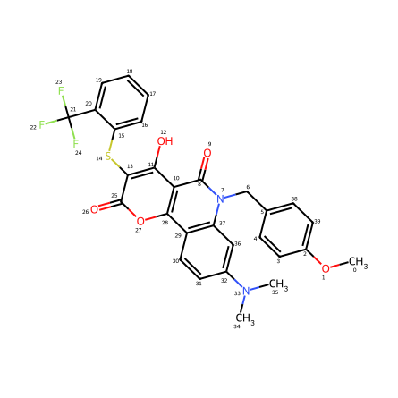 COc1ccc(Cn2c(=O)c3c(O)c(Sc4ccccc4C(F)(F)F)c(=O)oc3c3ccc(N(C)C)cc32)cc1